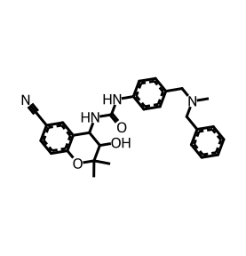 CN(Cc1ccccc1)Cc1ccc(NC(=O)NC2c3cc(C#N)ccc3OC(C)(C)C2O)cc1